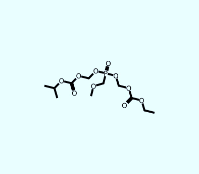 CCOC(=O)OCOP(=O)(COC)OCOC(=O)OC(C)C